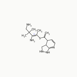 C=C(S/C(C)=C(\N)C(C)(C)CN)C1C=CN=C2NNCC21